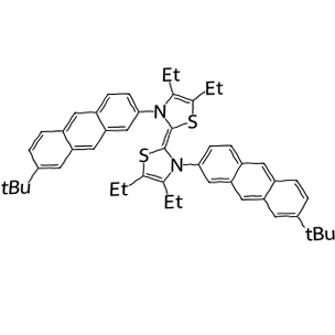 CCC1=C(CC)N(c2ccc3cc4ccc(C(C)(C)C)cc4cc3c2)/C(=C2\SC(CC)=C(CC)N2c2ccc3cc4ccc(C(C)(C)C)cc4cc3c2)S1